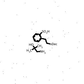 CC(C)(O)CN.CCCCCCCCCCCCc1ccccc1S(=O)(=O)O